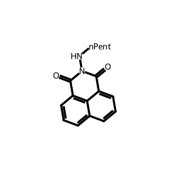 CCCCCNN1C(=O)c2cccc3cccc(c23)C1=O